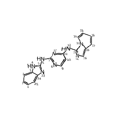 c1ccc2[nH]c(Nc3nccc(Nc4ncc5ccccn45)n3)nc2c1